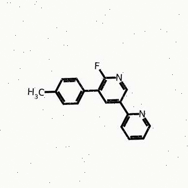 Cc1ccc(-c2cc(-c3ccccn3)cnc2F)cc1